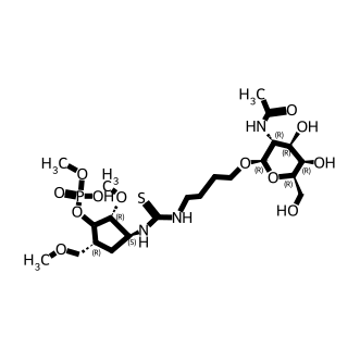 COC[C@H]1C[C@H](NC(=S)NCCCCO[C@@H]2O[C@H](CO)[C@H](O)[C@H](O)[C@H]2NC(C)=O)[C@@H](OC)C1OP(=O)(O)OC